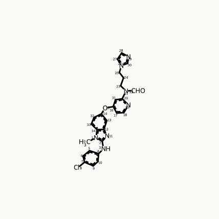 Cn1c(Nc2ccc(Cl)cc2)nc2cc(Oc3ccnc(N(C=O)CCCn4ccnc4)c3)ccc21